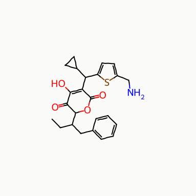 CCC(Cc1ccccc1)C1OC(=O)C(C(c2ccc(CN)s2)C2CC2)=C(O)C1=O